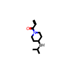 C=CC(=O)N1CCC(BC(C)C)CC1